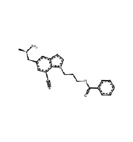 C[C@@H](N)Cc1cc(C#N)c2c(ccn2CCCOC(=O)c2ccccc2)c1